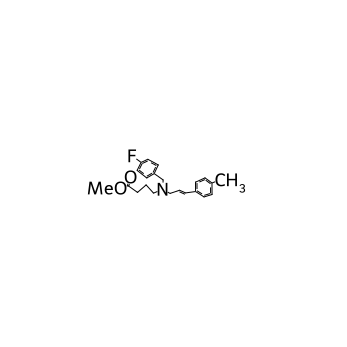 COC(=O)CCCN(CC=Cc1ccc(C)cc1)Cc1ccc(F)cc1